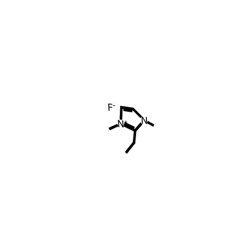 CCc1n(C)cc[n+]1C.[F-]